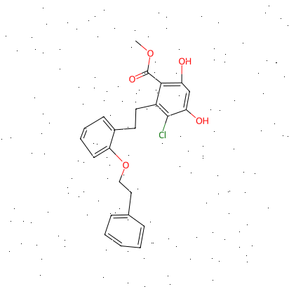 COC(=O)c1c(O)cc(O)c(Cl)c1CCc1ccccc1OCCc1ccccc1